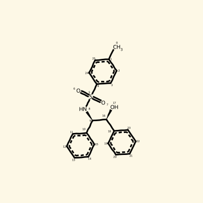 Cc1ccc(S(=O)(=O)N[C@H](c2ccccc2)[C@@H](O)c2ccccc2)cc1